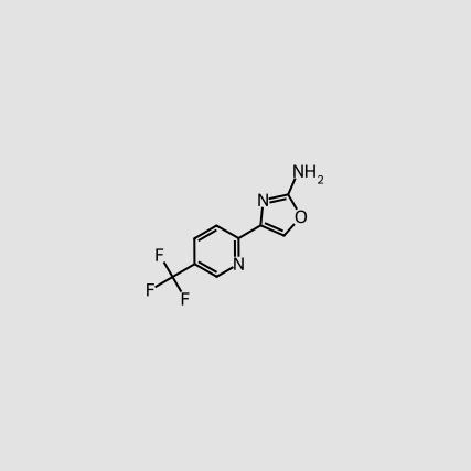 Nc1nc(-c2ccc(C(F)(F)F)cn2)co1